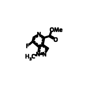 COC(=O)c1ncc(F)c2c1cnn2C